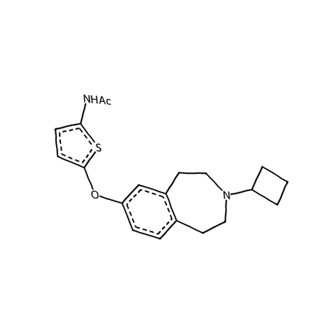 CC(=O)Nc1ccc(Oc2ccc3c(c2)CCN(C2CCC2)CC3)s1